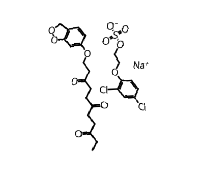 CCC(=O)CCC(=O)CCC(=O)CCOc1ccc2c(c1)OOC2.O=S(=O)([O-])OCCOc1ccc(Cl)cc1Cl.[Na+]